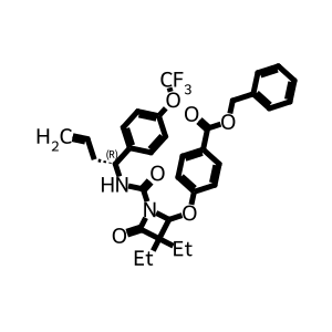 C=CC[C@@H](NC(=O)N1C(=O)C(CC)(CC)C1Oc1ccc(C(=O)OCc2ccccc2)cc1)c1ccc(OC(F)(F)F)cc1